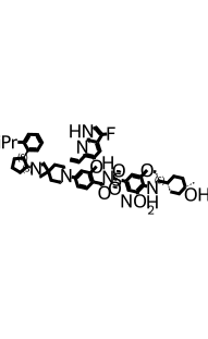 C=Cc1nc2[nH]cc(F)c2cc1Oc1cc(N2CCC3(CC2)CN([C@H]2CCC[C@H]2c2ccccc2C(C)C)C3)ccc1C(=O)NS(=O)(=O)c1cc2c(c([N+](=O)[O-])c1)N[C@@H]([C@H]1CC[C@](C)(O)CC1)CO2